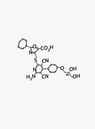 N#Cc1c(N)nc(SCc2nc(-c3ccccc3)oc2C(=O)O)c(C#N)c1-c1ccc(OC[C@H](O)CO)cc1